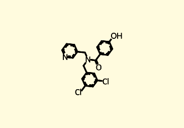 O=C(c1ccc(O)cc1)N(Cc1cccnc1)Cc1cc(Cl)cc(Cl)c1